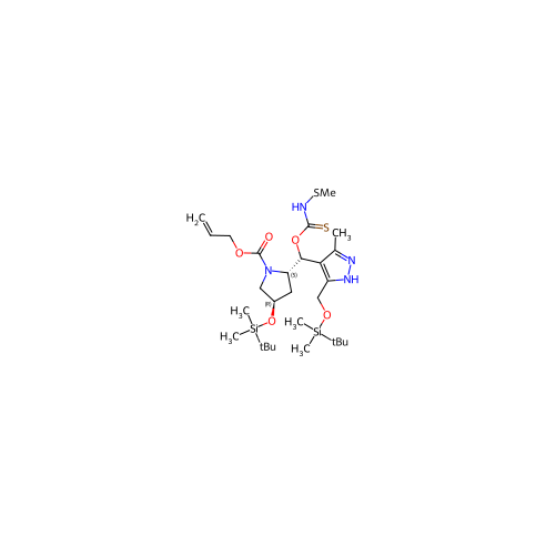 C=CCOC(=O)N1C[C@H](O[Si](C)(C)C(C)(C)C)C[C@H]1C(OC(=S)NSC)c1c(C)n[nH]c1CO[Si](C)(C)C(C)(C)C